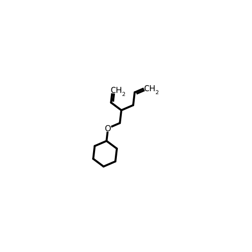 C=CCC(C=C)COC1CCCCC1